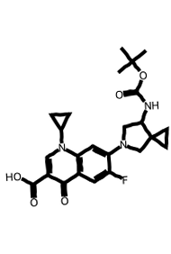 CC(C)(C)OC(=O)NC1CN(c2cc3c(cc2F)c(=O)c(C(=O)O)cn3C2CC2)CC12CC2